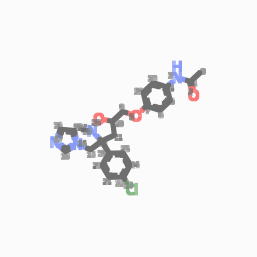 CC(=O)Nc1ccc(OCC2CC(Cn3ccnc3)(c3ccc(Cl)cc3)N(C)O2)cc1